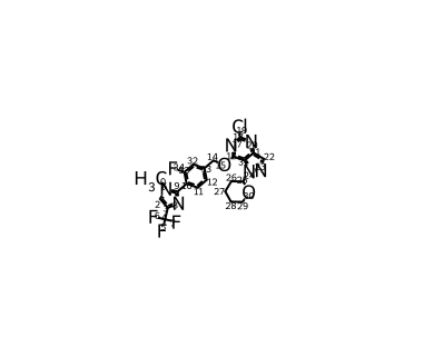 Cn1cc(C(F)(F)F)nc1-c1ccc(COc2nc(Cl)nc3cnn(C4CCCCO4)c23)cc1F